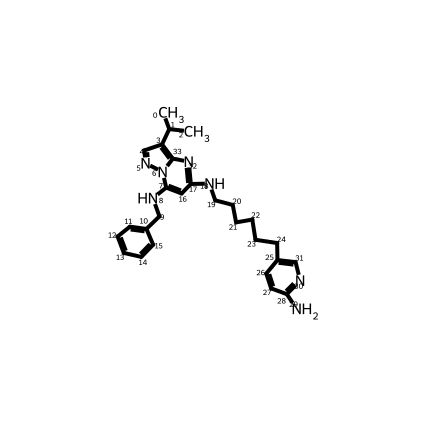 CC(C)c1cnn2c(NCc3ccccc3)cc(NCCCCCCc3ccc(N)nc3)nc12